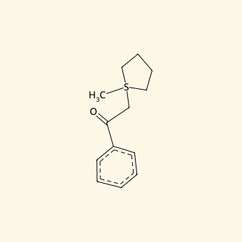 CS1(CC(=O)c2ccccc2)CCCC1